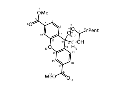 CCCCCC(O)O.COC(=O)c1ccc2c(c1)Oc1cc(C(=O)OC)ccc1C2(C)C